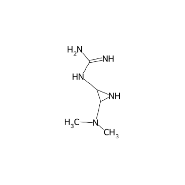 CN(C)C1NC1NC(=N)N